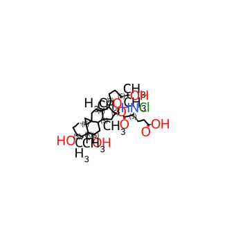 CC(C)(O)[C@@H]1CC[C@](C)(C2[C@@H](OC(=O)[C@H](CCC(=O)O)NCl)C[C@@]3(C)C4C[C@H](O)[C@H]5C(C)(C)[C@@H](O)CC[C@@]56CC46CC[C@]23C)O1